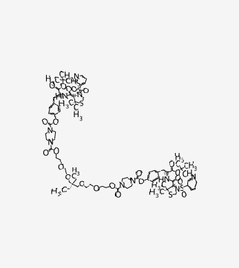 CCC(CC)(COCCOCCOC(=O)N1CCN(C(=O)Oc2ccc(C[C@H](NC(=O)[C@H]3N(S(=O)(=O)c4cccnc4)CSC3(C)C)C(=O)OC(C)(C)C)cc2)CC1)COCCOCCOC(=O)N1CCN(C(=O)Oc2ccc(C[C@H](NC(=O)[C@H]3N(S(=O)(=O)c4cccnc4)CSC3(C)C)C(=O)OC(C)(C)C)cc2)CC1